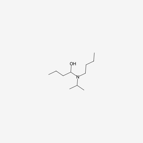 CCCCN(C(C)C)C(O)CCC